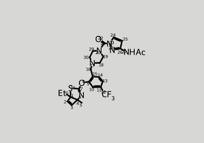 CCC12C=CC1(C)N=C(Oc1cc(C(F)(F)F)ccc1CN1CCN(C(=O)n3ccc(NC(C)=O)n3)CC1)S2